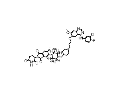 [2H]C1([2H])N(CC2CCN(CCCOc3cc4c(Nc5ccc(F)c(Cl)c5)ncnc4cc3OC)CC2)C([2H])([2H])C([2H])([2H])N(c2cc3c(cc2F)C(=O)N(C2CCC(=O)NC2=O)C3=O)C1([2H])[2H]